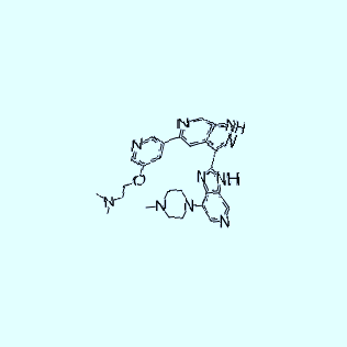 CN(C)CCOc1cncc(-c2cc3c(-c4nc5c(N6CCN(C)CC6)cncc5[nH]4)n[nH]c3cn2)c1